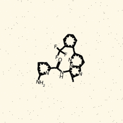 Cc1nc2ccc(-c3ccccc3C(F)(F)F)nn2c1NC(=O)c1cccc(N)n1